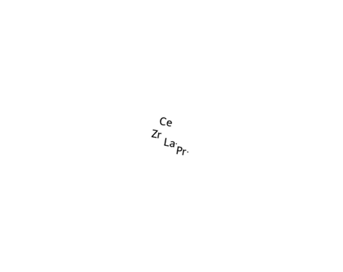 [Ce].[La].[Pr].[Zr]